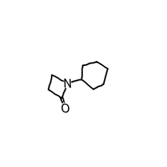 O=C1CCN1C1CCCCC1